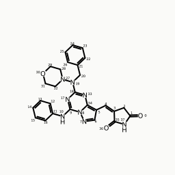 O=C1CC(=Cc2cnn3c(Nc4ccccc4)nc(N(Cc4ccccc4)N4CCOCC4)nc23)C(=O)N1